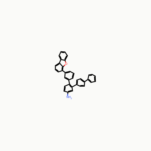 Nc1ccc(-c2cccc(-c3cccc4c3oc3ccccc34)c2)c(-c2ccc(-c3ccccc3)cc2)c1